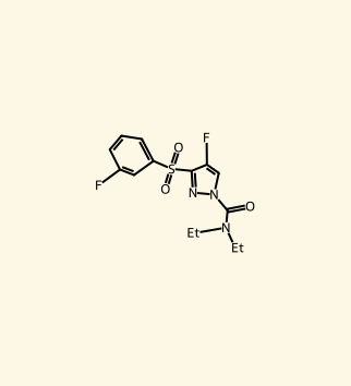 CCN(CC)C(=O)n1cc(F)c(S(=O)(=O)c2cccc(F)c2)n1